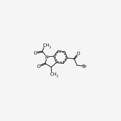 CC(=O)N1C(=O)C(C)c2cc(C(=O)CBr)ccc21